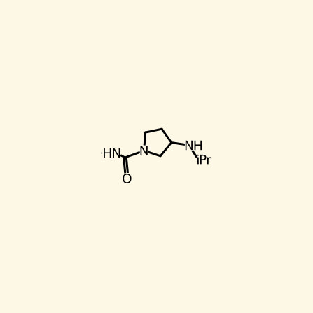 CC(C)NC1CCN(C([NH])=O)C1